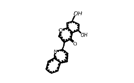 O=c1c(-c2ccc3ccccc3n2)coc2cc(O)cc(O)c12